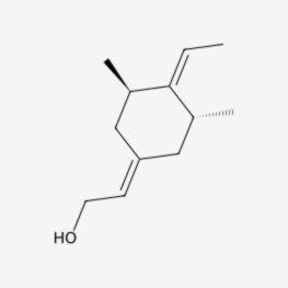 CC=C1[C@H](C)CC(=CCO)C[C@H]1C